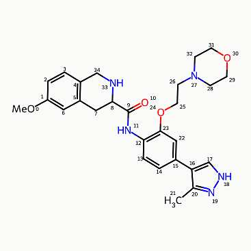 COc1ccc2c(c1)CC(C(=O)Nc1ccc(-c3c[nH]nc3C)cc1OCCN1CCOCC1)NC2